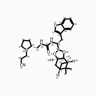 CC1(C)[C@@H]2C[C@H]3OB([C@H](Cc4coc5ccccc45)NC(=O)NC[C@H]4CCCN4CCC#N)O[C@@]3(C)[C@H]1C2